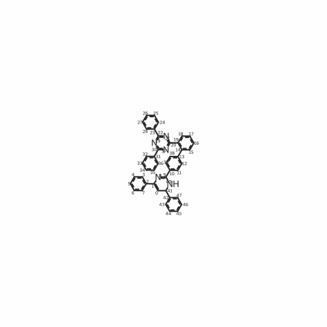 C1=C(c2ccccc2)N=C(c2ccc(-c3ccccc3-c3nc(-c4ccccc4)nc(-c4ccccc4)n3)cc2)NC1c1ccccc1